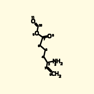 C=CC(N)CCCC(=O)OC=O